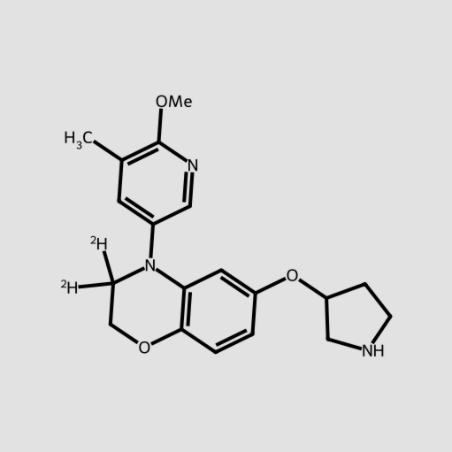 [2H]C1([2H])COc2ccc(OC3CCNC3)cc2N1c1cnc(OC)c(C)c1